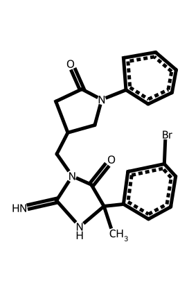 CC1(c2cccc(Br)c2)NC(=N)N(CC2CC(=O)N(c3ccccc3)C2)C1=O